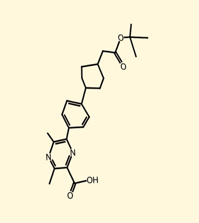 Cc1nc(C)c(-c2ccc(C3CCC(CC(=O)OC(C)(C)C)CC3)cc2)nc1C(=O)O